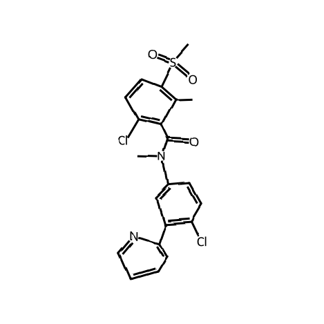 Cc1c(S(C)(=O)=O)ccc(Cl)c1C(=O)N(C)c1ccc(Cl)c(-c2ccccn2)c1